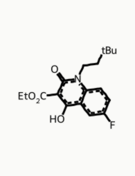 CCOC(=O)c1c(O)c2cc(F)ccc2n(CCC(C)(C)C)c1=O